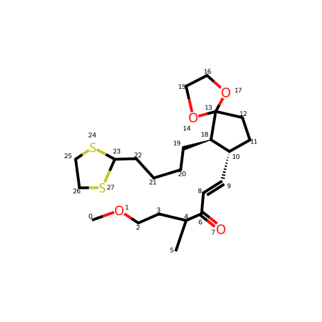 COCCC(C)C(=O)C=C[C@H]1CCC2(OCCO2)[C@@H]1CCCCC1SCCS1